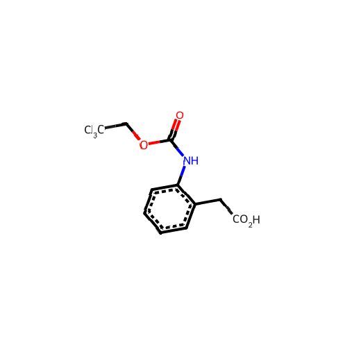 O=C(O)Cc1ccccc1NC(=O)OCC(Cl)(Cl)Cl